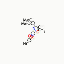 COc1ccc(C2=NN(C3CCN(S(=O)(=O)c4ccc(C#N)cc4)CC3)C(=O)C(C)(C)C2)cc1OC